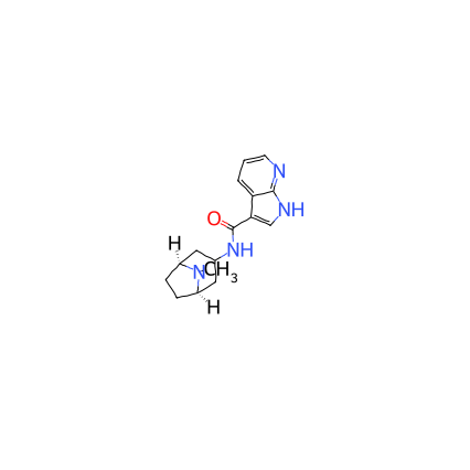 CN1[C@@H]2CC[C@H]1CC(NC(=O)c1c[nH]c3ncccc13)C2